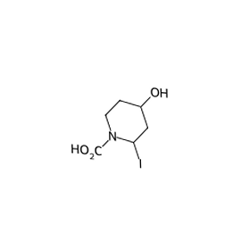 O=C(O)N1CCC(O)CC1I